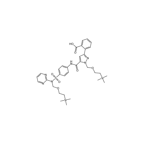 C[Si](C)(C)CCOCN(c1ncccn1)S(=O)(=O)c1ccc(NC(=O)c2cc(-c3ccccc3C(=O)O)nn2COCC[Si](C)(C)C)cc1